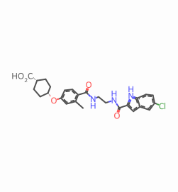 Cc1cc(O[C@H]2CC[C@@H](C(=O)O)CC2)ccc1C(=O)NCCNC(=O)c1cc2cc(Cl)ccc2[nH]1